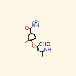 CCCNC(=O)c1ccc(O/C(C=O)=C/C(C)=N)c(C)c1